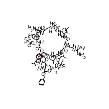 CC[C@H](C)[C@@H]1NC(=O)[C@@H](CCCNC(=N)N)NC(=O)[C@H](CC(C)C)NC(=O)[C@H]([C@H](OC(=O)C(F)(F)F)C(C)C)NC(=O)[C@@H](NC(=O)[C@H](CC(C)C)NC(=O)[C@H](CN)NC(=O)OCc2ccccc2)[C@@H](c2ccccc2)OC(=O)[C@H](COC(=O)C(F)(F)F)NC(=O)[C@H]([C@H](O)C(N)=O)NC(=O)CNC(=O)[C@H]([C@H](C)O)NC1=O